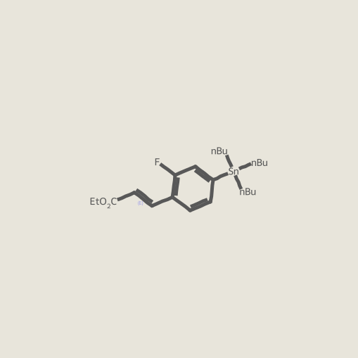 CCC[CH2][Sn]([CH2]CCC)([CH2]CCC)[c]1ccc(/C=C/C(=O)OCC)c(F)c1